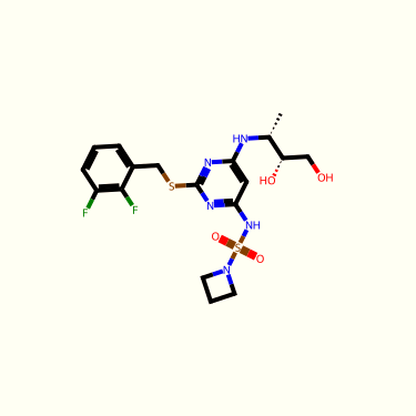 C[C@@H](Nc1cc(NS(=O)(=O)N2CCC2)nc(SCc2cccc(F)c2F)n1)[C@@H](O)CO